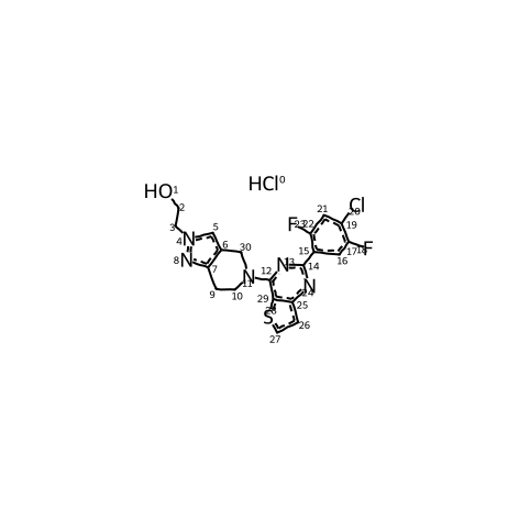 Cl.OCCn1cc2c(n1)CCN(c1nc(-c3cc(F)c(Cl)cc3F)nc3ccsc13)C2